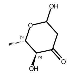 C[C@@H]1OC(O)CC(=O)[C@H]1O